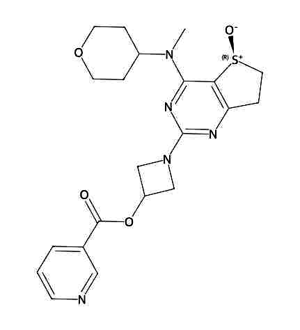 CN(c1nc(N2CC(OC(=O)c3cccnc3)C2)nc2c1[S@@+]([O-])CC2)C1CCOCC1